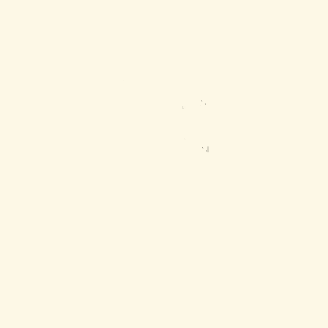 N[C@@H](CCc1ccccc1)C(=O)Nc1ccc(Oc2ccc(F)cc2)cc1